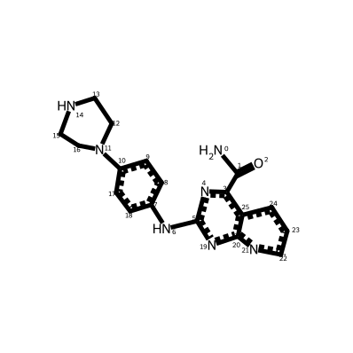 NC(=O)c1nc(Nc2ccc(N3CCNCC3)cc2)nc2n[c]ccc12